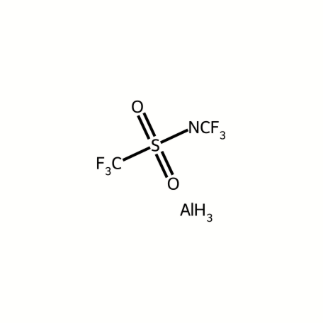 O=S(=O)(NC(F)(F)F)C(F)(F)F.[AlH3]